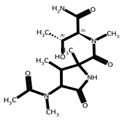 CC(=O)N(C)C1C(=O)NC(C)(C(=O)N(C)[C@H](C(N)=O)[C@@H](C)O)C1C